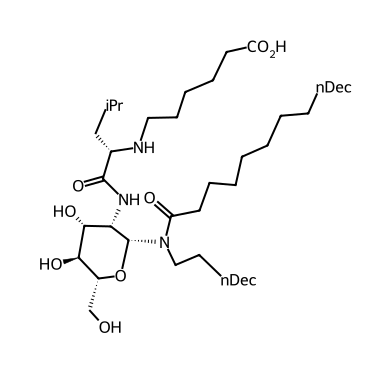 CCCCCCCCCCCCCCCCCC(=O)N(CCCCCCCCCCCC)[C@@H]1O[C@H](CO)[C@@H](O)[C@H](O)[C@@H]1NC(=O)[C@H](CC(C)C)NCCCCCC(=O)O